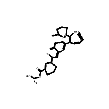 C=C1CCC(C2=C(C3CCCC(C)N3)NC=CC=C2)=C/C1=C/C(CC)C1C=C(C(=O)O[C@H](CC)CCC)CCC1